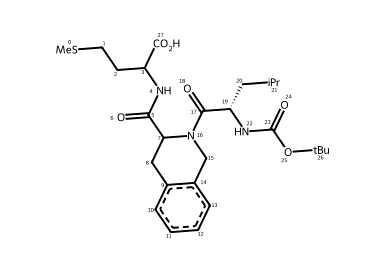 CSCCC(NC(=O)C1Cc2ccccc2CN1C(=O)[C@H](CC(C)C)NC(=O)OC(C)(C)C)C(=O)O